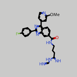 COc1cc(-c2nc(-c3ccc(F)cc3)nc3cc(C(=O)NCCCC(=N)NC=N)ccc23)ccn1